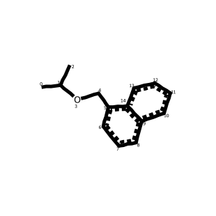 CC(C)OCc1cccc2ccccc12